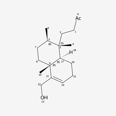 CC(=O)CC[C@@]1(C)[C@H](C)CC[C@@]2(C)C(CO)=CCC[C@H]12